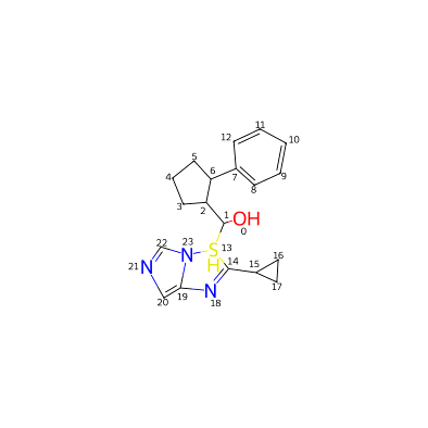 OC(C1CCCC1c1ccccc1)[SH]1C(C2CC2)=Nc2cncn21